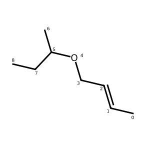 C/C=C/COC(C)CC